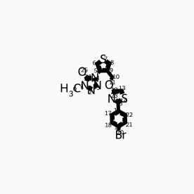 Cn1nnn(-c2cscc2COc2csc(-c3ccc(Br)cc3)n2)c1=O